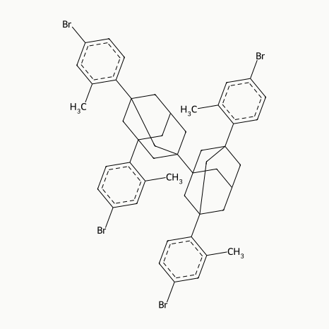 Cc1cc(Br)ccc1C12CC3CC(c4ccc(Br)cc4C)(C1)CC(C14CC5CC(c6ccc(Br)cc6C)(CC(c6ccc(Br)cc6C)(C5)C1)C4)(C3)C2